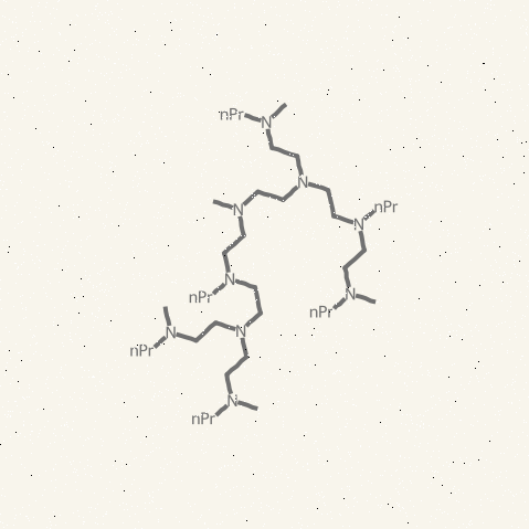 CCCN(C)CCN(CCC)CCN(CCN(C)CCC)CCN(C)CCN(CCC)CCN(CCN(C)CCC)CCN(C)CCC